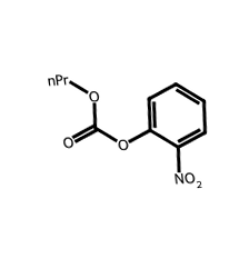 CCCOC(=O)Oc1ccccc1[N+](=O)[O-]